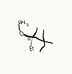 CC[C@@](C)(O[SiH3])C(C)(C)C